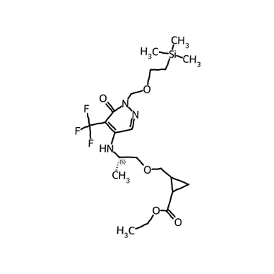 CCOC(=O)C1CC1COC[C@H](C)Nc1cnn(COCC[Si](C)(C)C)c(=O)c1C(F)(F)F